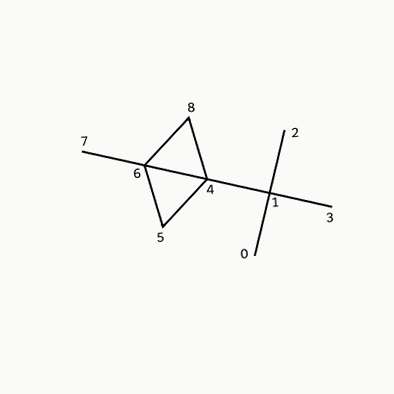 CC(C)(C)C12CC1(C)C2